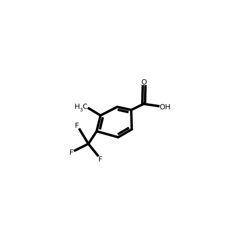 Cc1cc(C(=O)O)ccc1C(F)(F)F